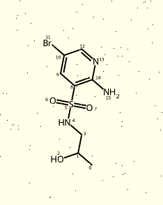 CC(O)CNS(=O)(=O)c1cc(Br)cnc1N